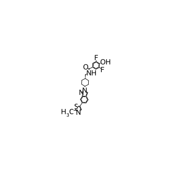 Cc1ncc(-c2ccc3cn([C@H]4CC[C@H](CNC(=O)c5cc(F)c(O)c(F)c5)CC4)nc3c2)s1